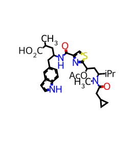 CC(=O)OC(CC(C(C)C)N(C)C(=O)CC1CC1)c1nc(C(=O)NC(Cc2ccc3[nH]ccc3c2)CC(C)C(=O)O)cs1